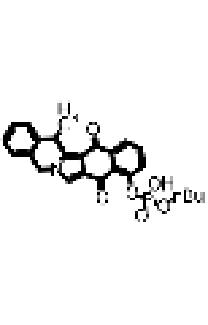 CCCCOP(=O)(O)Oc1cccc2c1C(=O)c1cn3c(c1C2=O)C(C)c1ccccc1C3